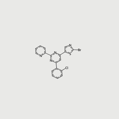 Clc1ccccc1-c1cc(-c2cnc(Br)s2)nc(-c2ccccn2)n1